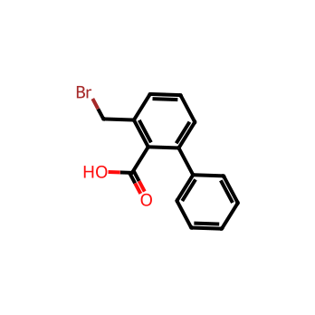 O=C(O)c1c(CBr)cccc1-c1ccccc1